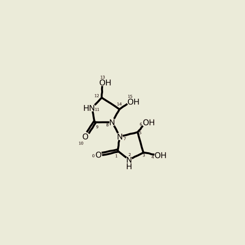 O=C1NC(O)C(O)N1N1C(=O)NC(O)C1O